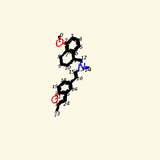 COc1cccc2c1CCCC2CN(C)CCc1ccc2oc(C)cc2c1